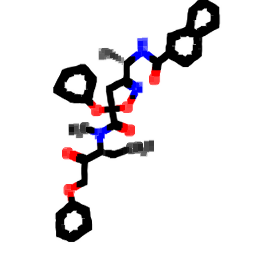 CC(C)[C@H](NC(=O)c1ccc2ccccc2c1)C1=NOC(Oc2ccccc2)(C(=O)N(C)[C@@H](CC(=O)O)C(=O)COc2ccccc2)C1